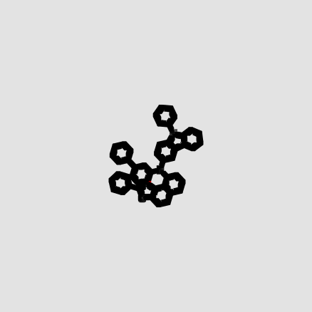 c1ccc(-c2cccc(N(c3ccc4c(c3)c3ccccc3n4-c3ccccc3)c3cccc4ccc5oc(-c6ccccc6)nc5c34)c2)cc1